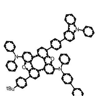 CC(C)(C)c1ccc(-c2ccc3c4ccc(N(c5ccccc5)c5ccc(-c6ccccc6)cc5)c5oc6c(-c7ccc(-c8ccc9c(c8)c8ccccc8n9-c8ccccc8)cc7)ccc(c7ccc(N(c8ccccc8)c8ccccc8)c8oc2c3c87)c6c54)cc1